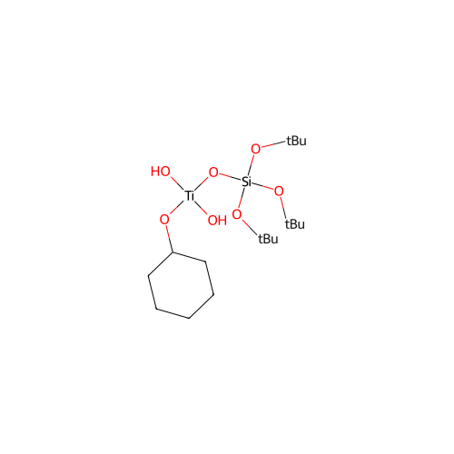 CC(C)(C)O[Si](OC(C)(C)C)(OC(C)(C)C)[O][Ti]([OH])([OH])[O]C1CCCCC1